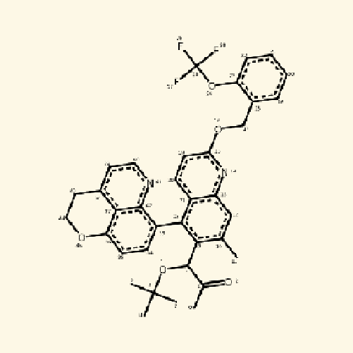 CC(=O)C(OC(C)(C)C)c1c(C)cc2nc(OCc3ccccc3OC(F)(F)F)ccc2c1-c1ccc2c3c(ccnc13)CCO2